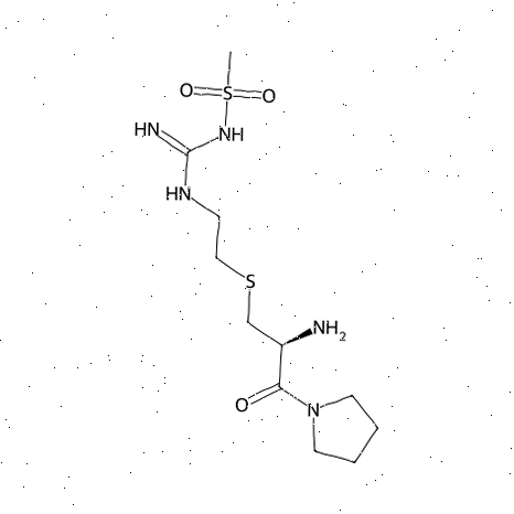 CS(=O)(=O)NC(=N)NCCSC[C@@H](N)C(=O)N1CCCC1